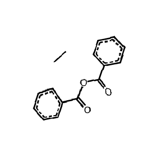 CC.O=C(OC(=O)c1ccccc1)c1ccccc1